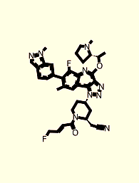 Cc1cc2c(nc(OC(C)[C@@H]3CCCN3C)c3nnn([C@H]4CCN(C(=O)/C=C/CF)[C@H](CC#N)C4)c32)c(F)c1-c1ccc2cnn(C)c2c1